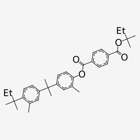 CCC(C)(C)OC(=O)c1ccc(C(=O)Oc2ccc(C(C)(C)c3ccc(C(C)(C)CC)c(C)c3)cc2C)cc1